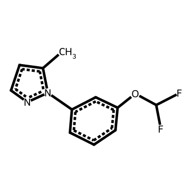 Cc1ccnn1-c1cccc(OC(F)F)c1